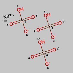 O=S(=O)([O-])O.O=S(=O)([O-])O.O=S(=O)([O-])O.[Nd+3]